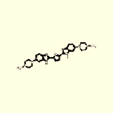 CN1CCN(c2ccc3nc(-c4ccc(-c5nc6ccc(N7CCN(C)CC7)cc6[nH]5)o4)[nH]c3c2)CC1